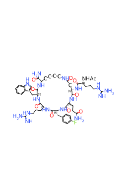 CC(=O)N[C@H](CCCNC(=N)N)C(=O)N[C@H]1CC(=O)NCCCCC(C(N)=O)NC(=O)[C@H](Cc2c[nH]c3ccccc23)NC(=O)[C@H](CCCNC(=N)N)NC(=O)[C@@H](Cc2ccc(F)cc2)NC(=O)[C@H](CCC(N)=O)NC1=O